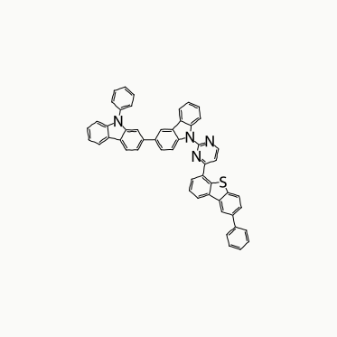 c1ccc(-c2ccc3sc4c(-c5ccnc(-n6c7ccccc7c7cc(-c8ccc9c%10ccccc%10n(-c%10ccccc%10)c9c8)ccc76)n5)cccc4c3c2)cc1